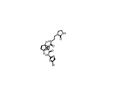 O=C(NCCN1CCNC1=O)[C@H]1[C@H](C(=O)Nc2ncc(Br)s2)[C@@H]2C=C[C@H]1C21CC1